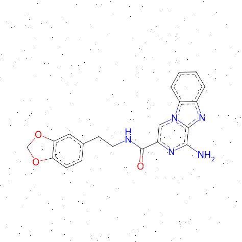 Nc1nc(C(=O)NCCc2ccc3c(c2)OCO3)cn2c1nc1ccccc12